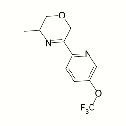 CC1COCC(c2ccc(OC(F)(F)F)cn2)=N1